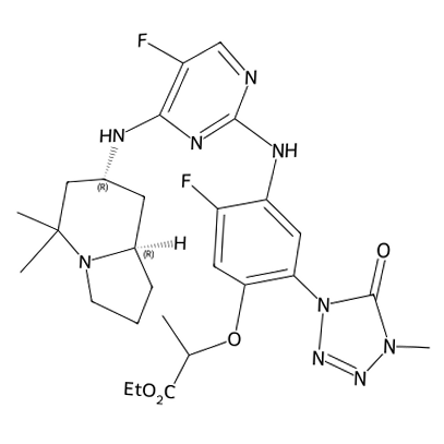 CCOC(=O)C(C)Oc1cc(F)c(Nc2ncc(F)c(N[C@@H]3C[C@H]4CCCN4C(C)(C)C3)n2)cc1-n1nnn(C)c1=O